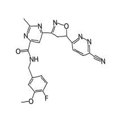 COc1cc(CNC(=O)c2cc(C3=NOC(c4ccc(C#N)nn4)C3)nc(C)n2)ccc1F